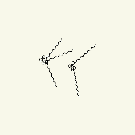 CCCCCCCCCCCCC(CCCCCCCCCCC)(CCCCCCCCCCCC)P(=O)(O)O.CCCCCCCCCCCCO[PH](=O)OCCCCCCCCCCCC